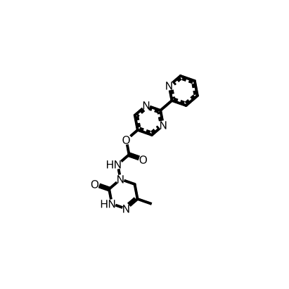 CC1=NNC(=O)N(NC(=O)Oc2cnc(-c3ccccn3)nc2)C1